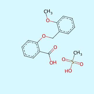 COc1ccccc1COc1ccccc1C(=O)O.CS(=O)(=O)O